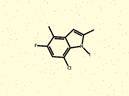 Cc1c(F)cc(Cl)c2c1cc(C)n2I